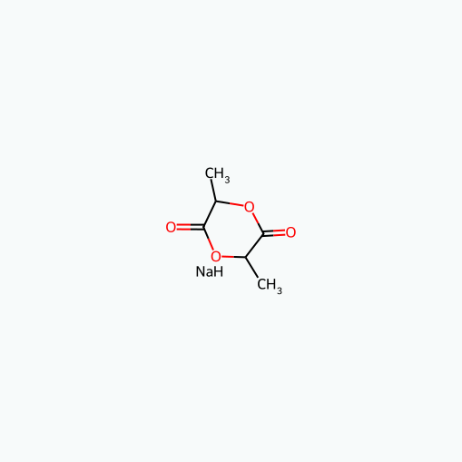 CC1OC(=O)C(C)OC1=O.[NaH]